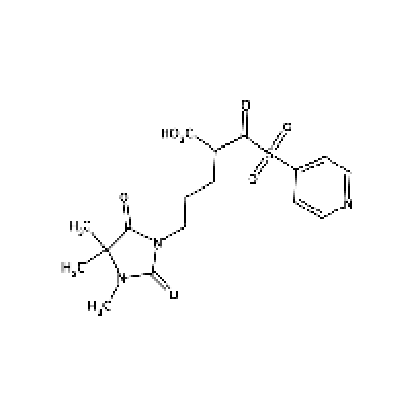 CN1C(=O)N(CCCC(C(=O)O)C(=O)S(=O)(=O)c2ccncc2)C(=O)C1(C)C